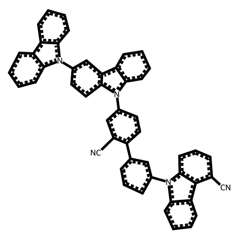 N#Cc1cc(-n2c3ccccc3c3cc(-n4c5ccccc5c5ccccc54)ccc32)ccc1-c1cccc(-n2c3ccccc3c3c(C#N)cccc32)c1